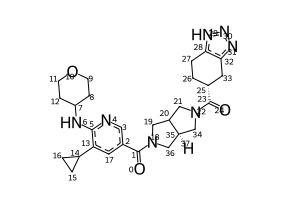 O=C(c1cnc(NC2CCOCC2)c(C2CC2)c1)N1CC2CN(C(=O)[C@@H]3CCc4[nH]nnc4C3)C[C@H]2C1